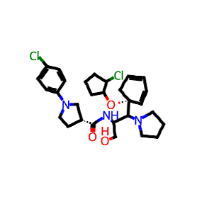 O=C(NC(CO)C(N1CCCC1)[C@]1(OC2CCCC2Cl)C=CC=CC1)[C@@H]1CCN(c2ccc(Cl)cc2)C1